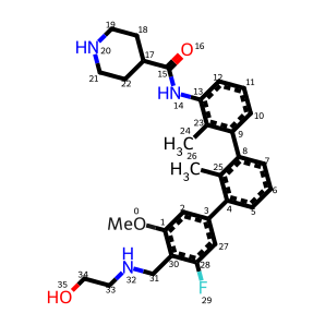 COc1cc(-c2cccc(-c3cccc(NC(=O)C4CCNCC4)c3C)c2C)cc(F)c1CNCCO